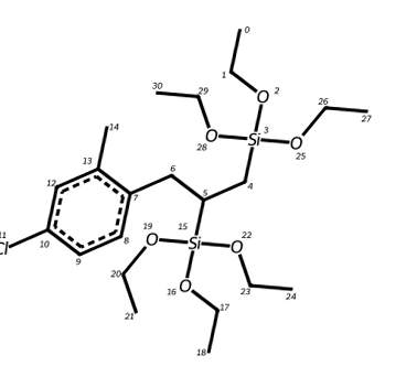 CCO[Si](CC(Cc1ccc(Cl)cc1C)[Si](OCC)(OCC)OCC)(OCC)OCC